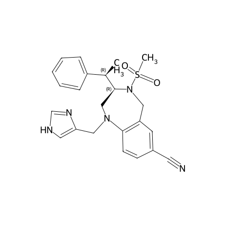 C[C@H](c1ccccc1)[C@@H]1CN(Cc2c[nH]cn2)c2ccc(C#N)cc2CN1S(C)(=O)=O